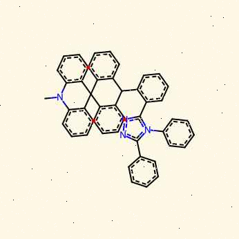 CN1c2ccccc2C2(c3ccccc3C(c3ccccc3-c3nnc(-c4ccccc4)n3-c3ccccc3)c3ccccc32)c2ccccc21